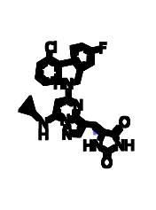 O=C1NC(=O)/C(=C/c2cnn3c(NC4CC4)cc(NCc4cc(F)ccc4-c4ccccc4Cl)nc23)N1